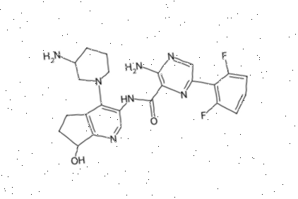 Nc1ncc(-c2c(F)cccc2F)nc1C(=O)Nc1cnc2c(c1N1CCCC(N)C1)CCC2O